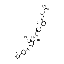 Cc1ncsc1-c1ccc([C@H](C)NC(=O)[C@@H]2C[C@@H](O)CN2C(=O)[C@@H](NC(=O)CN2CCC(c3cccc(OC[C@@H](N)CCC(N)=O)c3Cl)CC2)C(C)(C)C)cc1